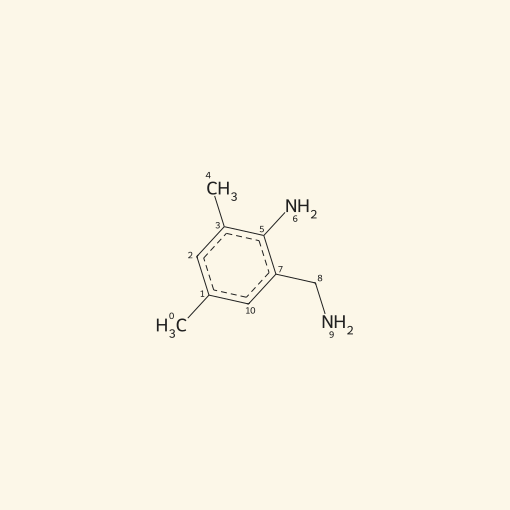 Cc1cc(C)c(N)c(CN)c1